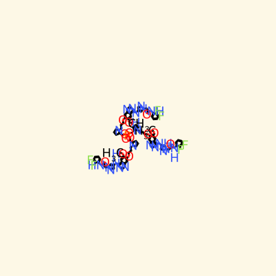 COc1cc2c(Nc3cnn(CC(=O)Nc4cccc(F)c4F)c3)ncnc2cc1OCCCN1CCC[C@@H]1COP(=O)(OC[C@H]1CCCN1CCCOc1cc2ncnc(Nc3cnn(CC(=O)Nc4cccc(F)c4F)c3)c2cc1OC)OC[C@H]1CCCN1CCCOc1cc2ncnc(Nc3cnn(CC(=O)Nc4cccc(F)c4F)c3)c2cc1OC